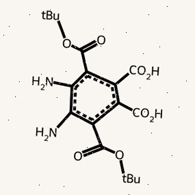 CC(C)(C)OC(=O)c1c(N)c(N)c(C(=O)OC(C)(C)C)c(C(=O)O)c1C(=O)O